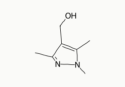 Cc1nn(C)c(C)c1CO